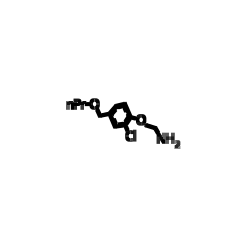 CCCOCc1ccc(OCCN)c(Cl)c1